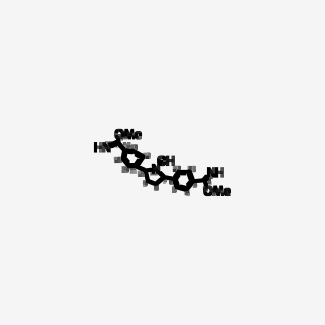 COC(=N)c1ccc(C2CCC(c3ccc(C(=N)OC)cc3)N2O)cc1